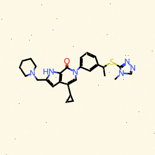 CC(Sc1nncn1C)c1cccc(-n2cc(C3CC3)c3cc(CN4CCCCC4)[nH]c3c2=O)c1